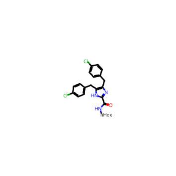 CCCCCCNC(=O)c1nc(Cc2ccc(Cl)cc2)c(Cc2ccc(Cl)cc2)[nH]1